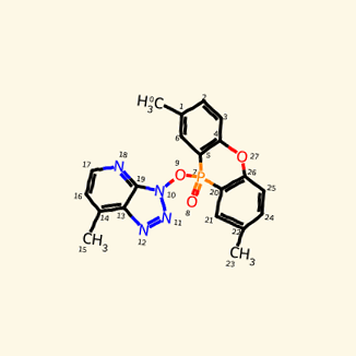 Cc1ccc2c(c1)P(=O)(On1nnc3c(C)ccnc31)c1cc(C)ccc1O2